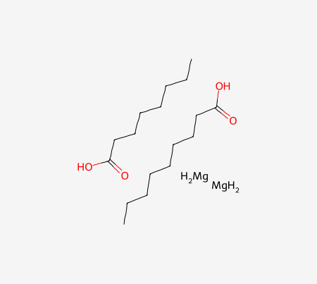 CCCCCCCC(=O)O.CCCCCCCCC(=O)O.[MgH2].[MgH2]